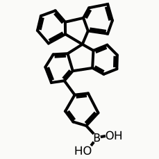 OB(O)c1ccc(-c2cccc3c2-c2ccccc2C32c3ccccc3-c3ccccc32)cc1